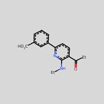 CCNc1nc(-c2cccc(C(=O)O)c2)ccc1C(=O)CC